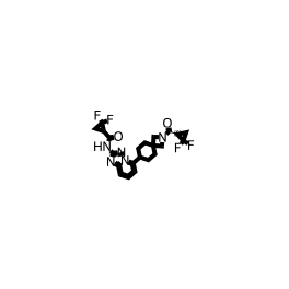 O=C(Nc1nc2cccc(C3CCC4(CC3)CN(C(=O)[C@@H]3CC3(F)F)C4)n2n1)C1CC1(F)F